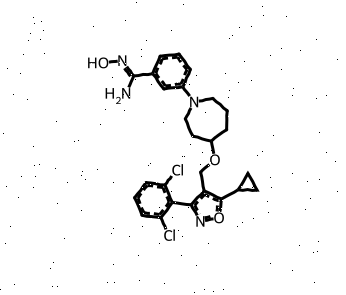 N/C(=N\O)c1cccc(N2CCCC(OCc3c(-c4c(Cl)cccc4Cl)noc3C3CC3)CC2)c1